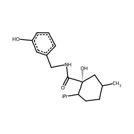 CC1CCC(C(C)C)[C@@](O)(C(=O)NCc2cccc(O)c2)C1